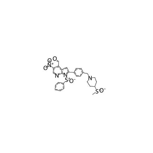 C[S+]([O-])C1CCN(Cc2ccc(-c3cc4c(C=O)c([N+](=O)[O-])cnc4n3[S+]([O-])c3ccccc3)cc2)CC1